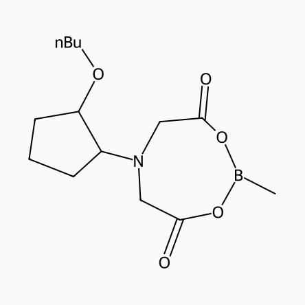 CCCCOC1CCCC1N1CC(=O)OB(C)OC(=O)C1